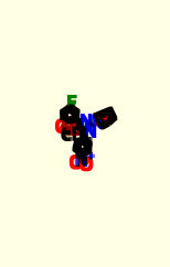 CS(=O)(=O)c1ccc(F)cc1-c1cc(-c2ccc([N+](=O)[O-])cc2)nc(N2CC3CCC(C2)O3)n1